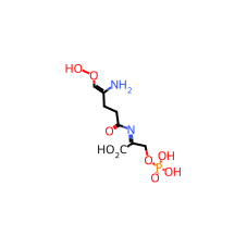 N/C(=C\OO)CCC(=O)/N=C(/COP(=O)(O)O)C(=O)O